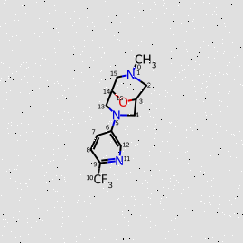 CN1CC2CN(c3ccc(C(F)(F)F)nc3)CC(C1)O2